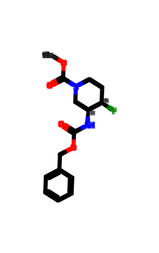 CC(C)(C)OC(=O)N1CC[C@@H](F)[C@@H](NC(=O)OCc2ccccc2)C1